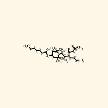 CCCCCCC(=O)OC1CC(C)(C)N(CC(C)N(CCCC)C(=O)CC(C)=O)C(C)(C)C1